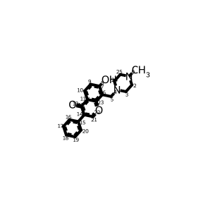 CN1CCN(Cc2c(O)ccc3c(=O)c(-c4ccccc4)coc23)CC1